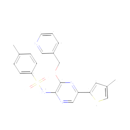 Cc1ccc(S(=O)(=O)Nc2ncc(-c3cc(C)cs3)nc2OCc2cccnc2)cc1